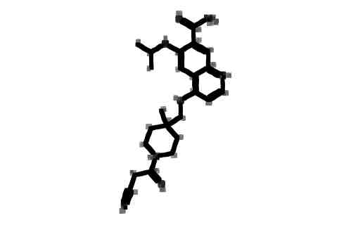 CC(C)Oc1cc2c(OCC3(C)CCN(C(=O)CC#N)CC3)ccnc2cc1C(N)=O